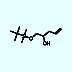 C=CCC(O)CO[Si](C)(C)C(C)(C)C